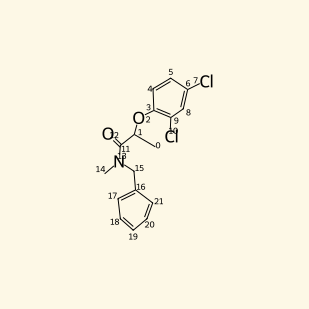 CC(Oc1ccc(Cl)cc1Cl)C(=O)N(C)Cc1ccccc1